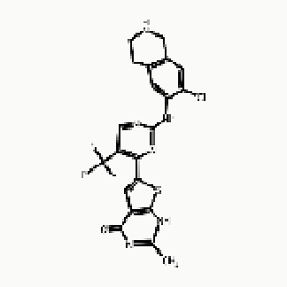 Cc1nc(=O)c2cc(-c3nc(Nc4cc5c(cc4Cl)CNCC5)ncc3C(F)(F)F)sc2[nH]1